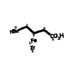 CCCCCCCC(=O)O.[Fe].[Zr]